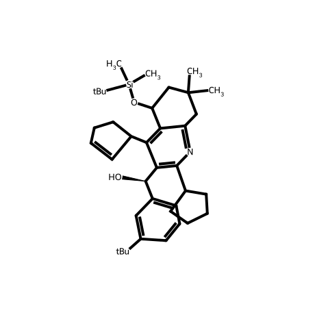 CC1(C)Cc2nc(C3CCCC3)c([C@H](O)c3cccc(C(C)(C)C)c3)c(C3C=CCC3)c2C(O[Si](C)(C)C(C)(C)C)C1